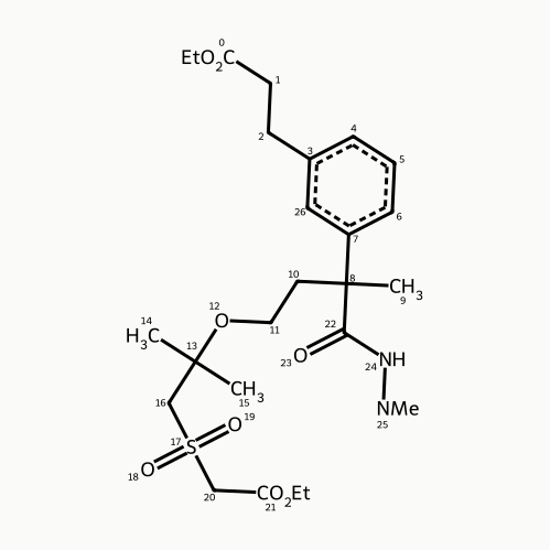 CCOC(=O)CCc1cccc(C(C)(CCOC(C)(C)CS(=O)(=O)CC(=O)OCC)C(=O)NNC)c1